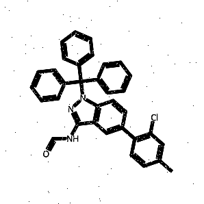 Cc1ccc(-c2ccc3c(c2)c(NC=O)nn3C(c2ccccc2)(c2ccccc2)c2ccccc2)c(Cl)c1